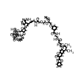 CC1CC(C)(C)N(CCCC(=O)NCCNC(=O)c2cccc(OCC(N=[N+]=[N-])OCCOCC(=O)NCC#Cc3cn(C4CC(OCN=[N+]=[N-])C(COP(=O)(O)OP(=O)(O)OP(=O)(O)O)O4)c4ncnc(N)c34)c2)c2cc3oc(=O)c(-c4nc5ccccc5o4)cc3cc21